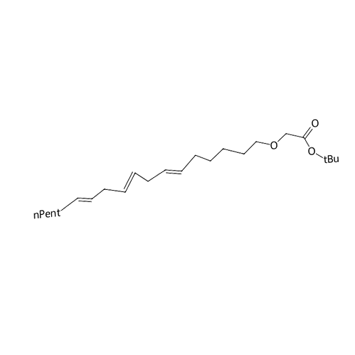 CCCCCC=CCC=CCC=CCCCCCOCC(=O)OC(C)(C)C